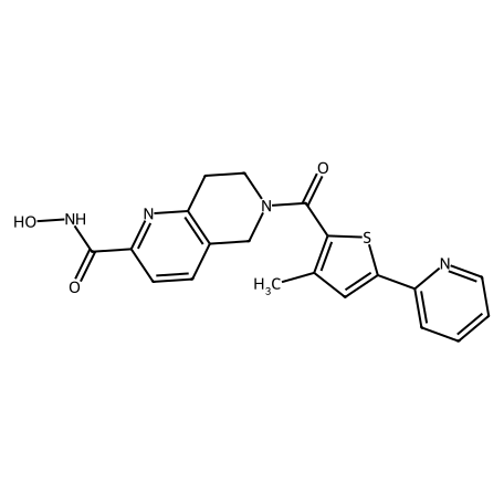 Cc1cc(-c2ccccn2)sc1C(=O)N1CCc2nc(C(=O)NO)ccc2C1